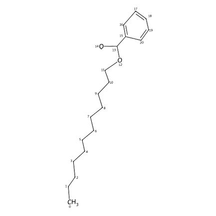 CCCCCCCCCCCCOC([O])c1ccccc1